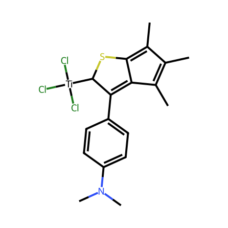 CC1=C(C)C2=C(c3ccc(N(C)C)cc3)[CH]([Ti]([Cl])([Cl])[Cl])SC2=C1C